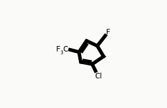 FC1[CH]C(Cl)=CC(C(F)(F)F)=C1